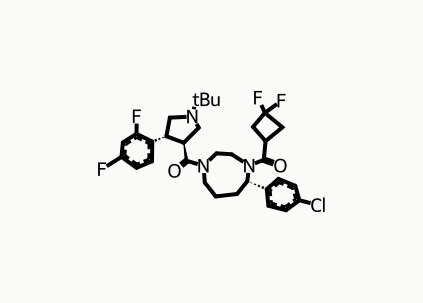 CC(C)(C)N1C[C@@H](C(=O)N2CCC[C@@H](c3ccc(Cl)cc3)N(C(=O)C3CC(F)(F)C3)CC2)[C@H](c2ccc(F)cc2F)C1